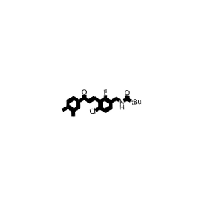 Cc1ccc(C(=O)C=Cc2c(Cl)ccc(CNC(=O)C(C)(C)C)c2F)cc1C